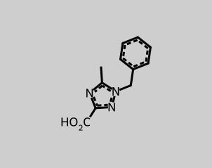 Cc1nc(C(=O)O)nn1Cc1ccccc1